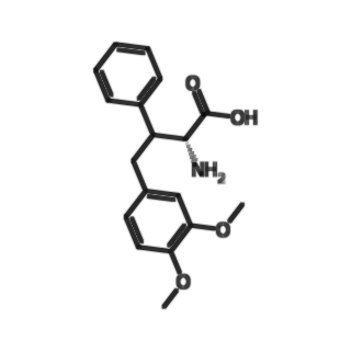 COc1ccc(CC(c2ccccc2)[C@@H](N)C(=O)O)cc1OC